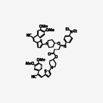 CCN(CC)c1ccc(N=C(CCC(=O)OC2CCN(c3ccc(C=C(C#N)c4ccc(OC)c(OC)c4)s3)CC2)OC2CCN(c3ccc(C=C(C#N)c4ccc(OC)c(OC)c4)s3)CC2)cc1